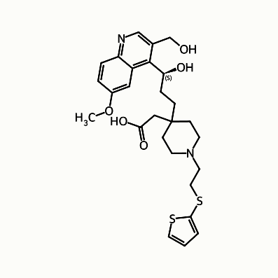 COc1ccc2ncc(CO)c([C@@H](O)CCC3(CC(=O)O)CCN(CCSc4cccs4)CC3)c2c1